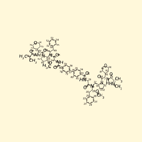 CN[C@@H](C)C(=O)N[C@H](C(=O)N1CC[C@H](OC)[C@H]1CN(CCc1ccccc1)C(=O)CNC(=O)c1ccc(-c2ccc(C(=O)NCC(=O)N(CCc3ccccc3)C3[C@@H](OC)CCN3C(=O)[C@@H](NC(=O)C(C)C)C3CCOCC3)cc2)cc1)C1CCOCC1